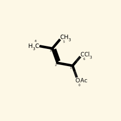 CC(=O)OC(C=C(C)C)C(Cl)(Cl)Cl